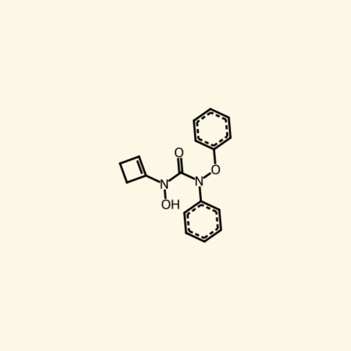 O=C(N(O)C1=CCC1)N(Oc1ccccc1)c1ccccc1